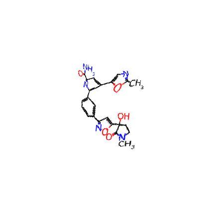 Cc1ncc(-c2cc(C(N)=O)nc(-c3cccc(-c4cc(C5(O)CCN(C)C5=O)on4)c3)c2)o1